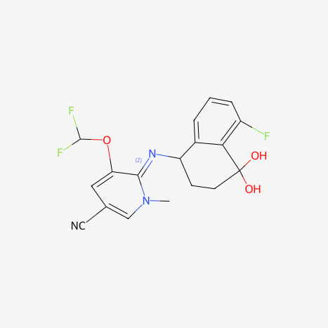 Cn1cc(C#N)cc(OC(F)F)/c1=N/C1CCC(O)(O)c2c(F)cccc21